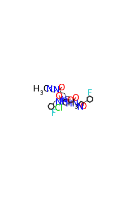 CN1CCN(C(=O)CC[C@@H](COC(=O)Nc2cc(-c3cccc(F)c3)on2)N(C)C(=O)NCc2cccc(F)c2Cl)CC1